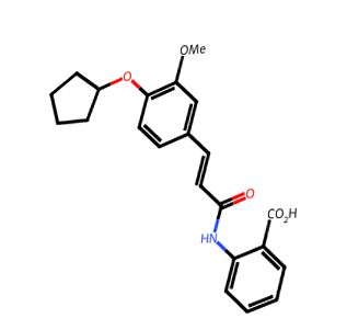 COc1cc(C=CC(=O)Nc2ccccc2C(=O)O)ccc1OC1CCCC1